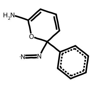 [N]=NC1(c2ccccc2)C=CC=C(N)O1